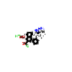 CC(C)(C)NN.Cc1ccccc1.Cl.O=C(Cl)c1ccc2ccccc2c1.[Na+].[OH-]